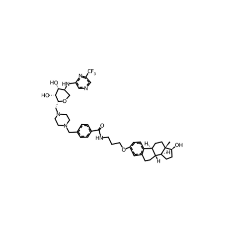 C[C@]12CC[C@@H]3c4ccc(OCCCNC(=O)c5ccc(CN6CCN(C[C@H]7OC[C@H](Nc8cncc(C(F)(F)F)n8)[C@@H](O)[C@H]7O)CC6)cc5)cc4CC[C@H]3[C@@H]1CC[C@@H]2O